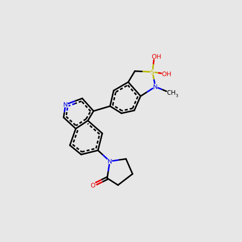 CN1c2ccc(-c3cncc4ccc(N5CCCC5=O)cc34)cc2CS1(O)O